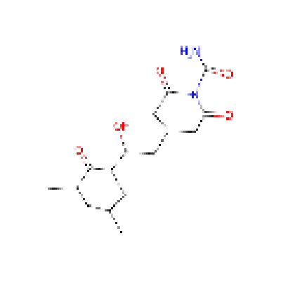 CC1CC(C)C(=O)C(C(O)CC2CC(=O)N(C(N)=O)C(=O)C2)C1